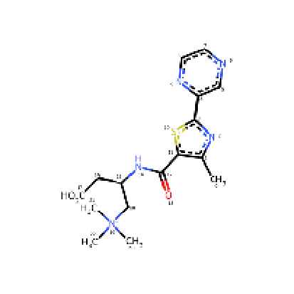 Cc1nc(-c2cnccn2)sc1C(=O)N[C@H](CC(=O)O)C[N+](C)(C)C